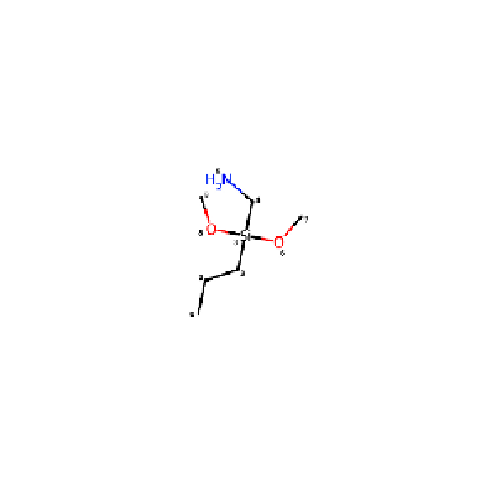 CCC[Si](CN)(OC)OC